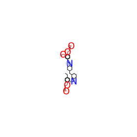 CCc1ccc(OCC2CO2)c(/C=N\C2CCCC(CC3CCC(/N=C/c4ccc(OCC5CO5)c(OC)c4)CC3)C2)c1